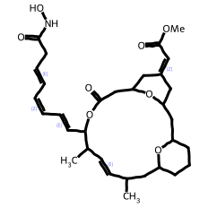 COC(=O)/C=C1\CC2CC(=O)OC(/C=C/C=C\C=C\CC(=O)NO)C(C)/C=C/C(C)CC3CCCC(CC(C1)O2)O3